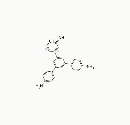 C/C=C\C(=C/C=N)c1cc(-c2ccc(N)cc2)cc(-c2ccc(N)cc2)c1